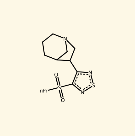 CCCS(=O)(=O)c1nsnc1C1CN2CCCC1C2